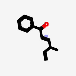 C=CC(C)/C=C/C(=O)c1ccccc1